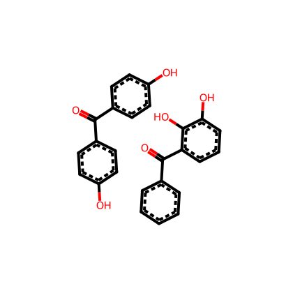 O=C(c1ccc(O)cc1)c1ccc(O)cc1.O=C(c1ccccc1)c1cccc(O)c1O